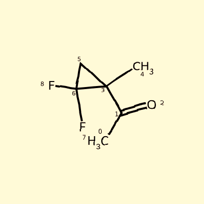 CC(=O)C1(C)CC1(F)F